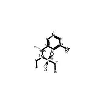 CCN([C@H](C)c1cncc(Br)c1)S(=O)(=O)CC